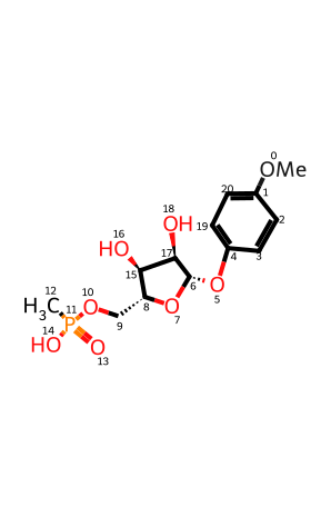 COc1ccc(O[C@@H]2O[C@H](COP(C)(=O)O)[C@@H](O)[C@H]2O)cc1